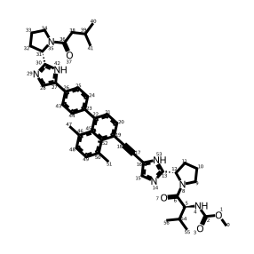 COC(=O)N[C@H](C(=O)N1CCC[C@H]1c1ncc(C#Cc2ccc(-c3ccc(-c4cnc([C@@H]5CCCN5C(=O)CC(C)C)[nH]4)cc3)c3c(C)ccc(C)c23)[nH]1)C(C)C